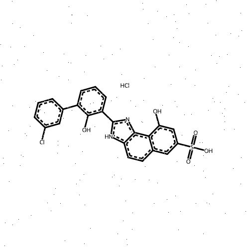 Cl.O=S(=O)(O)c1cc(O)c2c(ccc3[nH]c(-c4cccc(-c5cccc(Cl)c5)c4O)nc32)c1